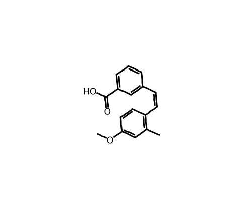 COc1ccc(/C=C\c2cccc(C(=O)O)c2)c(C)c1